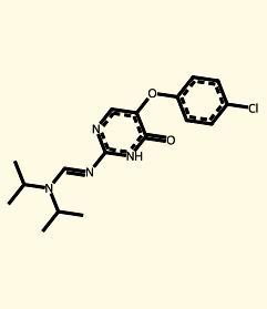 CC(C)N(/C=N/c1ncc(Oc2ccc(Cl)cc2)c(=O)[nH]1)C(C)C